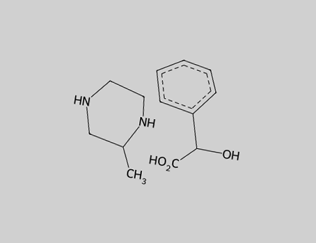 CC1CNCCN1.O=C(O)C(O)c1ccccc1